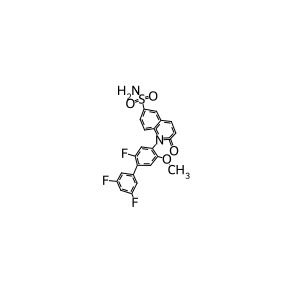 COc1cc(-c2cc(F)cc(F)c2)c(F)cc1-n1c(=O)ccc2cc(S(N)(=O)=O)ccc21